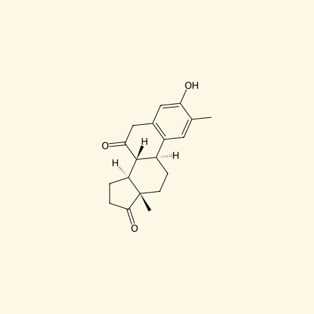 Cc1cc2c(cc1O)CC(=O)[C@@H]1[C@@H]2CC[C@]2(C)C(=O)CC[C@@H]12